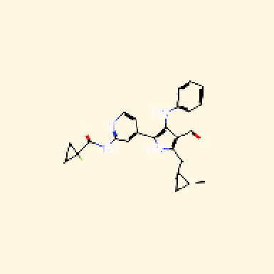 C[C@H]1C[C@@]1(C)Cc1[nH]c(-c2ccnc(NC(=O)C3(F)CC3)c2)c(Nc2ccccc2)c1C=O